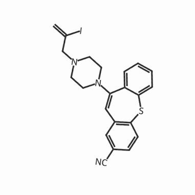 C=C(I)CN1CCN(C2=Cc3cc(C#N)ccc3Sc3ccccc32)CC1